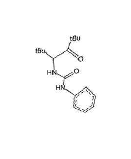 CC(C)(C)C(=O)C(NC(=O)Nc1ccccc1)C(C)(C)C